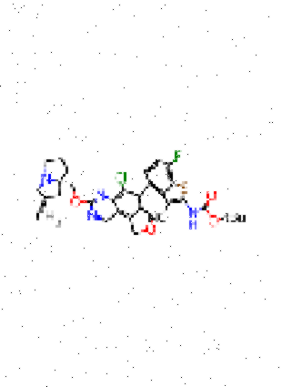 C=C1CN2CCC[C@@]2(COc2ncc3c4c(c(-c5ccc(F)c6sc(NC(=O)OC(C)(C)C)c(C#N)c56)c(Cl)c3n2)COC4)C1